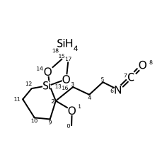 COC1(CCCN=C=O)CCCC[Si]1(OC)OC.[SiH4]